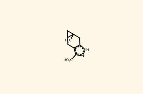 CC12Cc3[nH]nc(C(=O)O)c3CC1C2